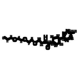 CCCOCCOCCOCCNC(=O)c1ccc(-c2nnc(C)nn2)cc1